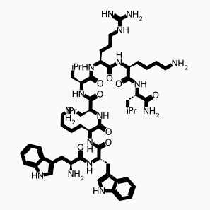 CC(C)C[C@H](NC(=O)[C@H](CCCCN)NC(=O)[C@H](CCCNC(=N)N)NC(=O)[C@H](CC(C)C)NC(=O)[C@H](CC(C)C)NC(=O)[C@H](CCCCN)NC(=O)[C@H](Cc1c[nH]c2ccccc12)NC(=O)[C@@H](N)Cc1c[nH]c2ccccc12)C(N)=O